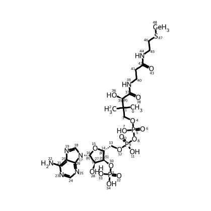 CC(C)(COP(=O)(O)OP(=O)(O)OC[C@H]1O[C@@H](n2cnc3c(N)ncnc32)[C@H](O)[C@@H]1OP(=O)(O)O)[C@@H](O)C(=O)NCCC(=O)NCC[S][GeH3]